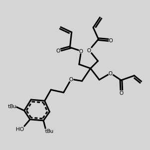 C=CC(=O)OCC(COCCc1cc(C(C)(C)C)c(O)c(C(C)(C)C)c1)(COC(=O)C=C)COC(=O)C=C